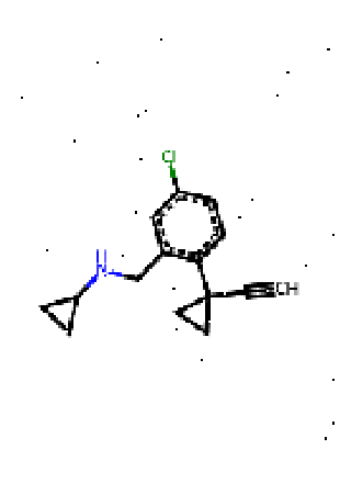 C#CC1(c2ccc(Cl)cc2CNC2CC2)CC1